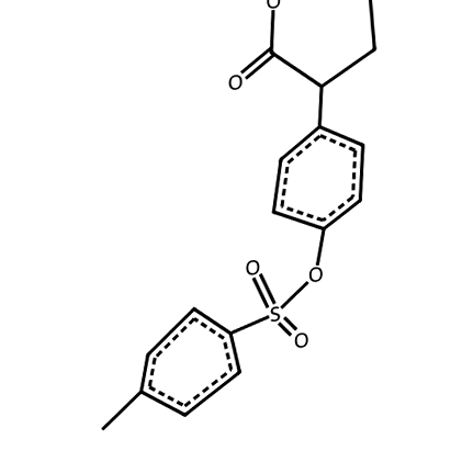 CCC(C(=O)OC)c1ccc(OS(=O)(=O)c2ccc(C)cc2)cc1